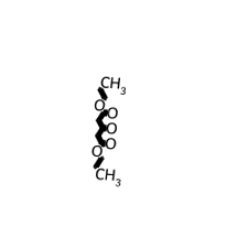 CCCOC(=O)CC(=O)CC(=O)OCCC